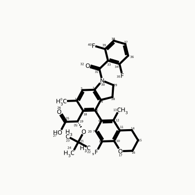 Cc1cc2c(c(-c3cc(F)c4c(c3C)CCCO4)c1[C@H](OC(C)(C)C)C(=O)O)CCN2C(=O)c1c(F)cccc1F